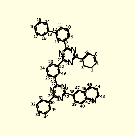 C1=CCCC(c2nc(-c3cccc(-c4ccccc4)c3)nc(-c3cccc(-c4nc(-c5ccccc5)nc(-c5ccc6ncccc6c5)n4)c3)n2)=C1